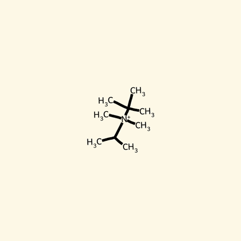 CC(C)[N+](C)(C)C(C)(C)C